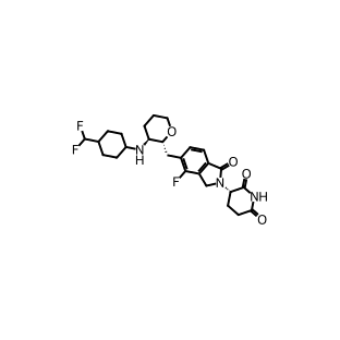 O=C1CC[C@H](N2Cc3c(ccc(C[C@H]4OCCC[C@@H]4NC4CCC(C(F)F)CC4)c3F)C2=O)C(=O)N1